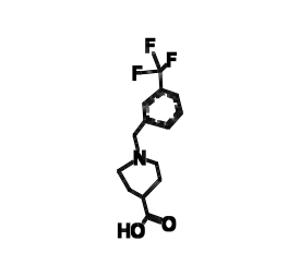 O=C(O)C1CCN(Cc2cccc(C(F)(F)F)c2)CC1